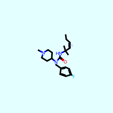 CC/C=C\C(C)(C)NC(=O)N(Cc1ccc(F)cc1)C1CCN(C)CC1